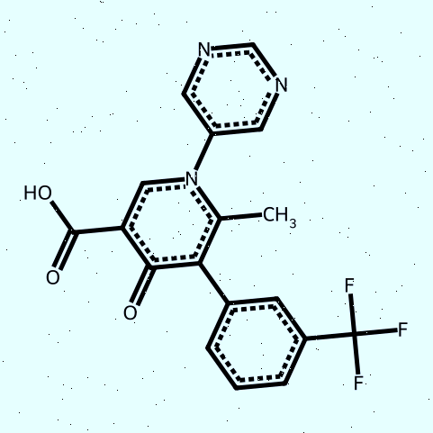 Cc1c(-c2cccc(C(F)(F)F)c2)c(=O)c(C(=O)O)cn1-c1cncnc1